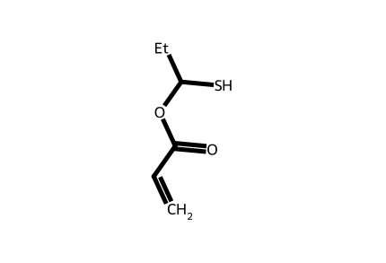 C=CC(=O)OC(S)CC